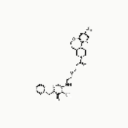 O=C(CCOCCNc1cnp(Cc2ccccc2)c(=O)c1C(F)(F)F)N1CCN2c3ncc(C(F)(F)F)cc3OCCC2C1